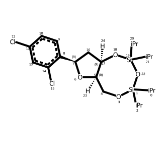 CC(C)[Si]1(C(C)C)OC[C@H]2O[C@@H](c3ccc(Cl)cc3Cl)C[C@H]2O[Si](C(C)C)(C(C)C)O1